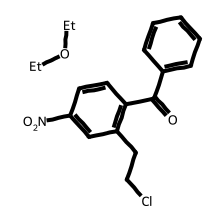 CCOCC.O=C(c1ccccc1)c1ccc([N+](=O)[O-])cc1CCCl